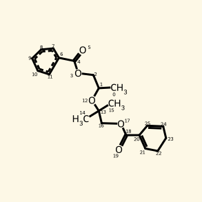 CC(COC(=O)c1ccccc1)OC(C)(C)COC(=O)C1=CCCC=C1